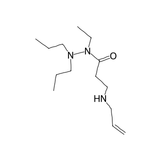 C=CCNCCC(=O)N(CC)N(CCC)CCC